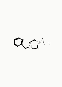 CN(C#N)N1CCN(Cc2ccccc2)CC1